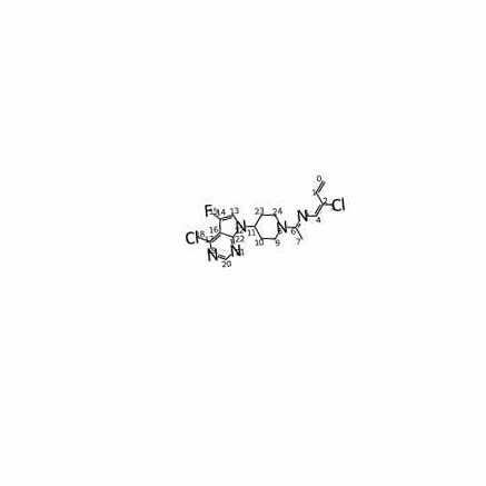 C=C/C(Cl)=C\N=C(/C)N1CCC(n2cc(F)c3c(Cl)ncnc32)CC1